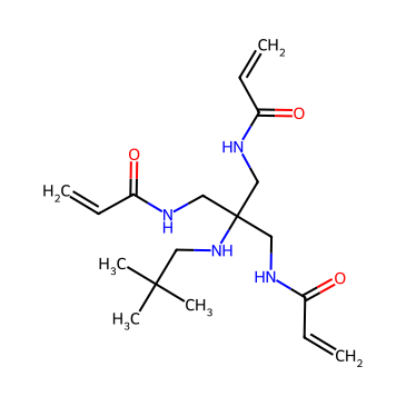 C=CC(=O)NCC(CNC(=O)C=C)(CNC(=O)C=C)NCC(C)(C)C